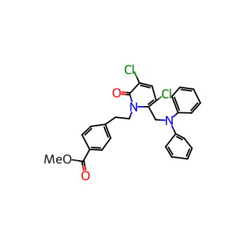 COC(=O)c1ccc(CCn2c(CN(c3ccccc3)c3ccccc3)c(Cl)cc(Cl)c2=O)cc1